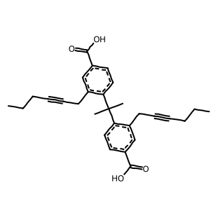 CCCC#CCc1cc(C(=O)O)ccc1C(C)(C)c1ccc(C(=O)O)cc1CC#CCCC